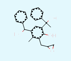 Cc1c(C(O)c2ccccc2)cc(C(C)(O)c2ccccc2)c(O)c1CC1CO1